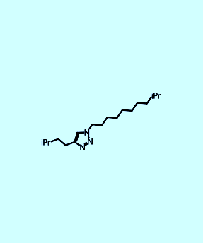 CC(C)CCCCCCCCn1cc(CCC(C)C)nn1